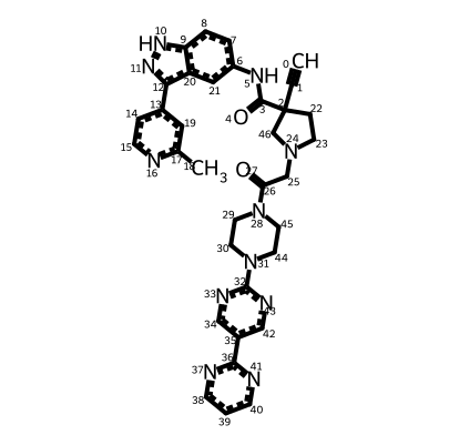 C#CC1(C(=O)Nc2ccc3[nH]nc(-c4ccnc(C)c4)c3c2)CCN(CC(=O)N2CCN(c3ncc(-c4ncccn4)cn3)CC2)C1